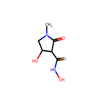 CN1CC(O)C(C(=S)NO)C1=O